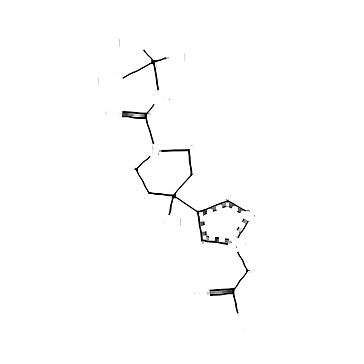 CC(C)(C)OC(=O)N1CCC(O)(c2cnn(CC(=O)O)c2)CC1